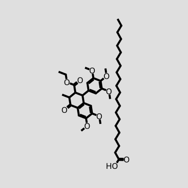 CCCCCCCCCCCCCCCCCCCCCC(=O)O.CCOC(=O)C1C(C)C(=O)c2cc(OC)c(OC)cc2C1c1cc(OC)c(OC)c(OC)c1